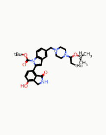 C[SiH](C)OC(CC(C)(C)C)N1CCN(Cc2ccc3c(c2)cc(-c2ccc(O)c4c2C(=O)NC4)n3C(=O)OC(C)(C)C)CC1